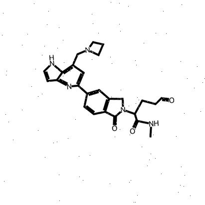 CNC(=O)C(CCC=O)N1Cc2cc(-c3cc(CN4CCC4)c4[nH]ccc4n3)ccc2C1=O